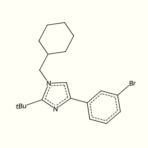 CC(C)(C)c1nc(-c2cccc(Br)c2)cn1CC1CCCCC1